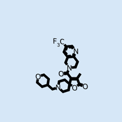 CC1=C(C(=O)N2CCc3ncc(C(F)(F)F)cc3C2)C2(CCN(CC3CCOCC3)CC2)OC1=O